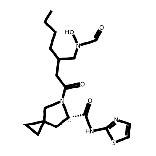 CCCCC(CC(=O)N1CC2(CC2)C[C@H]1C(=O)Nc1nccs1)CN(O)C=O